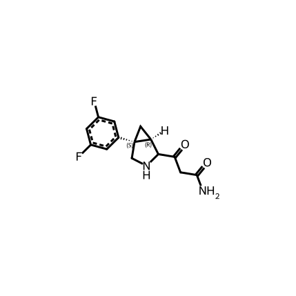 NC(=O)CC(=O)C1NC[C@@]2(c3cc(F)cc(F)c3)C[C@@H]12